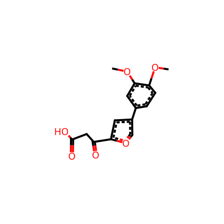 COc1ccc(-c2coc(C(=O)CC(=O)O)c2)cc1OC